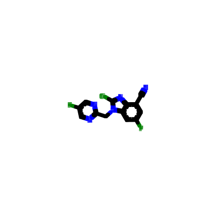 N#Cc1cc(F)cc2c1nc(Cl)n2Cc1ncc(F)cn1